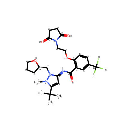 Cn1c(C(C)(C)C)c/c(=N\C(=O)c2cc(C(F)(F)F)ccc2OCCN2C(=O)CCC2=O)n1C[C@H]1CCCO1